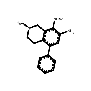 CC(=O)Nc1c(N)cc(-c2ccccc2)c2c1CN(C)CC2